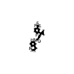 O=C(C#CC1(c2cc(C(F)(F)F)ccc2F)CC1)Nc1ccc2ncccc2c1